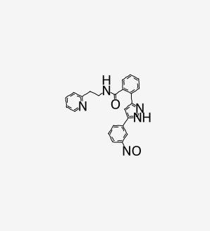 O=Nc1cccc(-c2cc(-c3ccccc3C(=O)NCCc3ccccn3)n[nH]2)c1